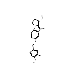 Cc1c2n(c3ccc(OCc4ccc(OC(C)C)c(C(F)(F)F)c4)cc13)CC[C@@H]2CC(=O)O